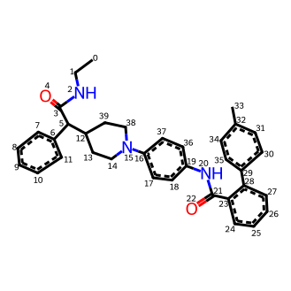 CCNC(=O)C(c1ccccc1)C1CCN(c2ccc(NC(=O)c3ccccc3-c3ccc(C)cc3)cc2)CC1